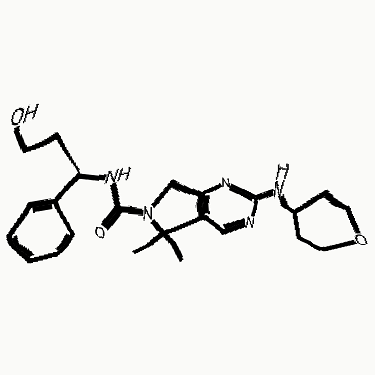 CC1(C)c2cnc(NC3CCOCC3)nc2CN1C(=O)N[C@H](CCO)c1ccccc1